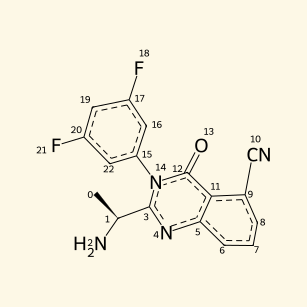 C[C@H](N)c1nc2cccc(C#N)c2c(=O)n1-c1cc(F)cc(F)c1